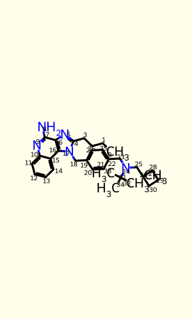 CCCCc1nc2c(N)nc3ccccc3c2n1Cc1ccc(CN(CC2(C)CCC2)C(C)(C)C)cc1